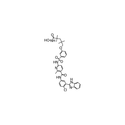 Cc1nc(NS(=O)(=O)c2cccc(OCC(C)(C)CC(C)(C)C(=O)NO)c2)ccc1C(=O)Nc1ccc(Cl)c(-c2nc3ccccc3[nH]2)c1